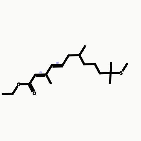 CCOC(=O)/C=C(C)/C=C/CC(C)CCCC(C)(C)SC